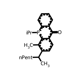 CCCCCC(C)c1ccc2c(=O)c3ccccc3p(C(C)C)c2c1C